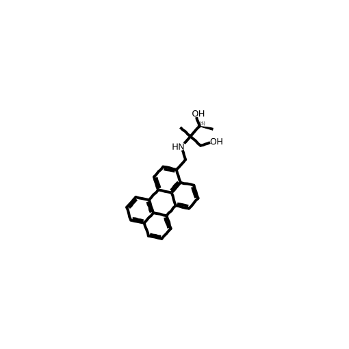 C[C@H](O)C(C)(CO)NCc1ccc2c3cccc4cccc(c5cccc1c52)c43